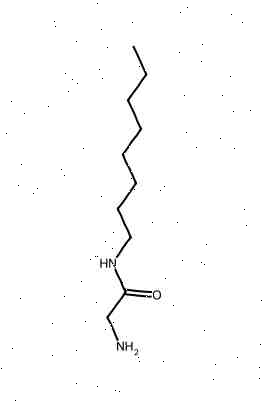 CCCCCCCCNC(=O)CN